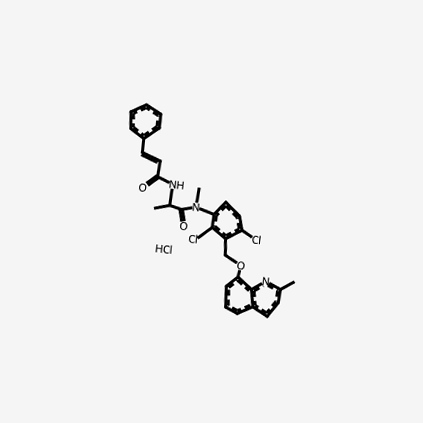 Cc1ccc2cccc(OCc3c(Cl)ccc(N(C)C(=O)C(C)NC(=O)/C=C/c4ccccc4)c3Cl)c2n1.Cl